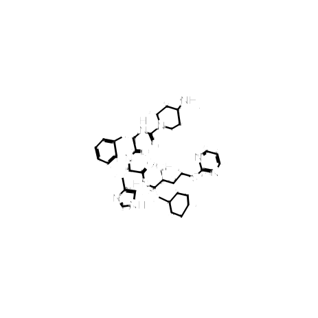 NC1CCN(C(=O)N[C@@H](Cc2ccccc2)C(=O)N[C@@H](Cc2c[nH]cn2)C(=O)N[C@@H](CC2CCCCC2)[C@@H](O)CCSc2ncccn2)CC1